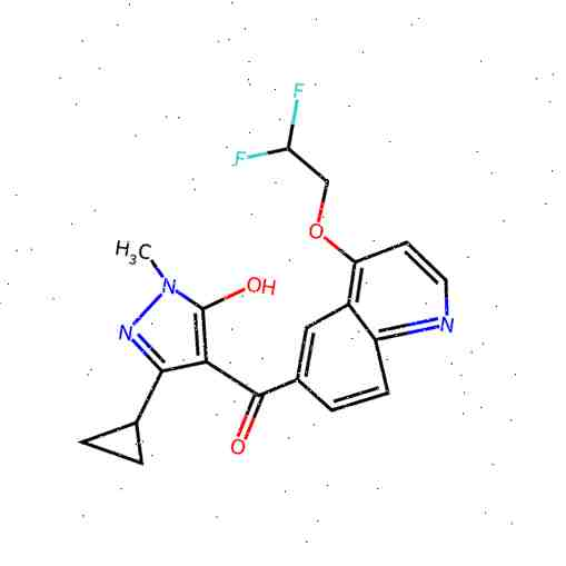 Cn1nc(C2CC2)c(C(=O)c2ccc3nccc(OCC(F)F)c3c2)c1O